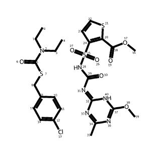 CCN(CC)C(=O)SCc1ccc(Cl)cc1.COC(=O)c1sccc1S(=O)(=O)NC(=O)N=c1nc(C)nc(OC)[nH]1